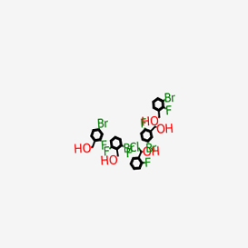 OC(Cl)c1c(F)cccc1F.OCc1c(F)cccc1Br.OCc1cc(Br)ccc1F.OCc1ccc(Br)cc1F.OCc1cccc(Br)c1F